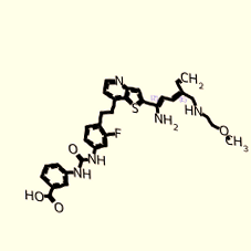 C=C/C(=C\C=C(/N)c1cc2nccc(CCc3ccc(NC(=O)Nc4cccc(C(=O)O)c4)cc3F)c2s1)CNCCOC